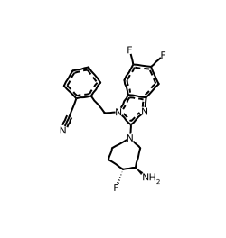 N#Cc1ccccc1Cn1c(N2CC[C@@H](F)[C@H](N)C2)nc2cc(F)c(F)cc21